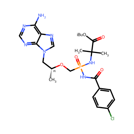 CC(C)COC(=O)C(C)(C)NP(=O)(CO[C@H](C)Cn1cnc2c(N)ncnc21)NC(=O)c1ccc(Cl)cc1